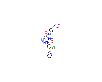 O=C(Nc1ccc(CN2CCOCC2)cc1)c1sc2ncnc3c2c1NC(=O)N3c1ccc(OCc2ccccn2)c(Cl)c1